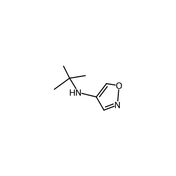 CC(C)(C)Nc1cnoc1